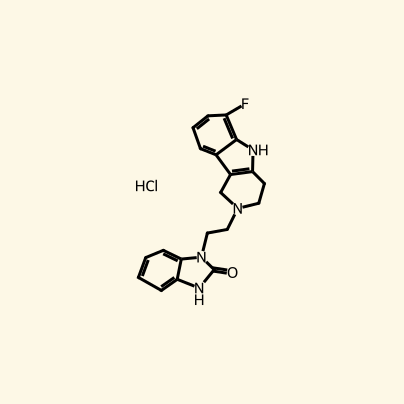 Cl.O=c1[nH]c2ccccc2n1CCN1CCc2[nH]c3c(F)cccc3c2C1